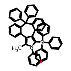 Cc1c2c(c([Si](c3ccccc3)(c3ccccc3)c3ccccc3)n1-c1ccccc1)-c1ccccc1C(c1ccccc1)(c1ccccc1)c1ccccc1-2